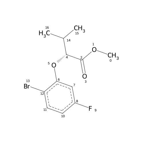 COC(=O)[C@H](Oc1cc(F)ccc1Br)C(C)C